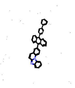 c1ccc(-c2ccc(-c3c4ccccc4c(-c4ccc5c(ccc6nc7ccccc7n65)c4)c4ccccc34)cc2)cc1